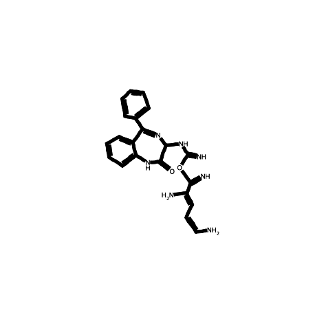 N=C(NC1N=C(c2ccccc2)c2ccccc2NC1=O)OC(=N)/C(N)=C/C=C\N